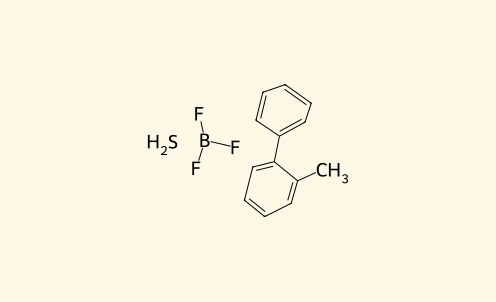 Cc1ccccc1-c1ccccc1.FB(F)F.S